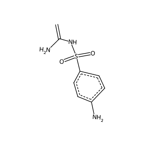 C=C(N)NS(=O)(=O)c1ccc(N)cc1